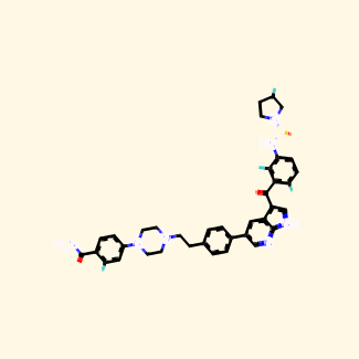 NC(=O)c1ccc(N2CCN(CCc3ccc(-c4cnc5[nH]cc(C(=O)c6c(F)ccc(N[S+]([O-])N7CCC(F)C7)c6F)c5c4)cc3)CC2)cc1F